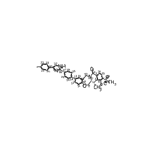 CCc1c(C(=O)N2CCOc3ccc(-c4ccc(-c5nc(-c6ccccc6)c[nH]5)cc4)cc3C2)ccc(S(C)(=O)=O)c1F